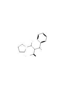 CCCCCCCCCC(=O)C(C(O)c1ccccc1)C(N)N1CCCC1